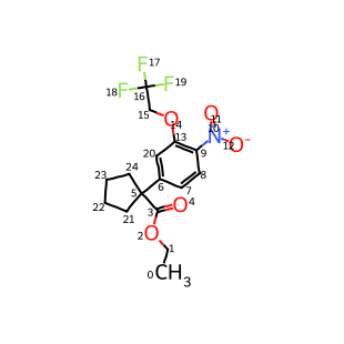 CCOC(=O)C1(c2ccc([N+](=O)[O-])c(OCC(F)(F)F)c2)CCCC1